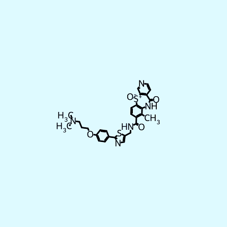 Cc1c(C(=O)NCc2cnc(-c3ccc(OCCCN(C)C)cc3)s2)ccc2c1NC(=O)c1ccncc1[S+]2[O-]